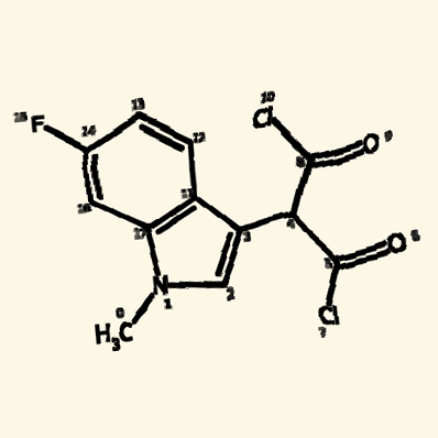 Cn1cc(C(C(=O)Cl)C(=O)Cl)c2ccc(F)cc21